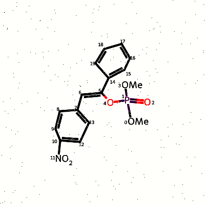 COP(=O)(OC)OC(=Cc1ccc([N+](=O)[O-])cc1)c1ccccc1